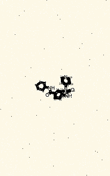 O=C(NC1CCCCC1)c1ccc2[nH]c(=O)n(-c3ccncc3)c2c1